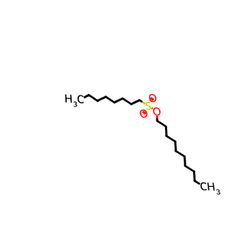 CCCCCCCCCCOS(=O)(=O)CCCCCCCC